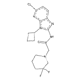 O=C(CN1CCCC(F)(F)C1)Nc1nc2ccc(Cl)nc2n1C1CCC1